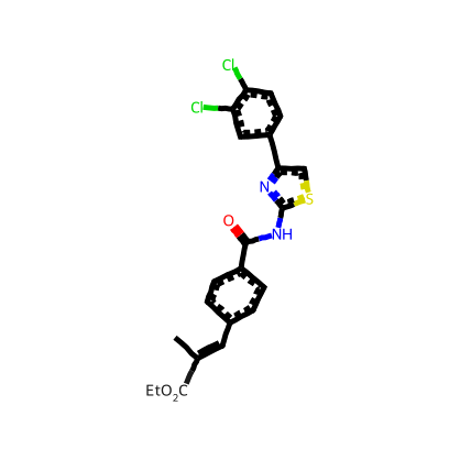 CCOC(=O)/C(C)=C/c1ccc(C(=O)Nc2nc(-c3ccc(Cl)c(Cl)c3)cs2)cc1